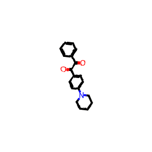 O=C(C(=O)c1ccc(N2CCCCC2)cc1)c1ccccc1